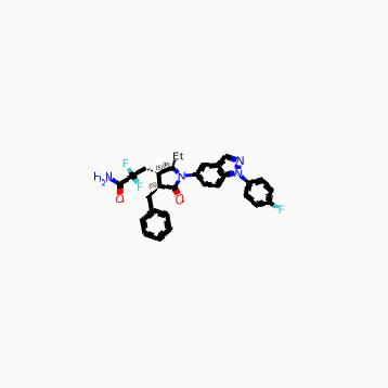 CC[C@@H]1[C@@H](CC(F)(F)C(N)=O)[C@H](Cc2ccccc2)C(=O)N1c1ccc2c(cnn2-c2ccc(F)cc2)c1